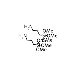 CO[Si](CCCN)(OC)OC.CO[Si](CCCN)(OC)OC